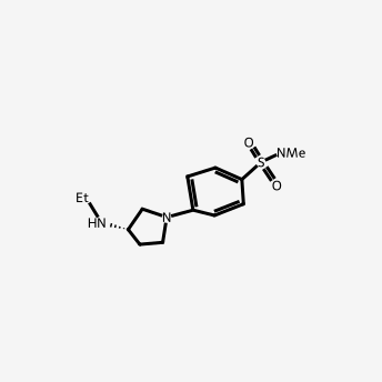 CCN[C@H]1CCN(c2ccc(S(=O)(=O)NC)cc2)C1